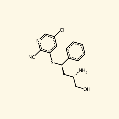 N#Cc1ncc(Cl)cc1S[C@H](C[C@H](N)CO)c1ccccc1